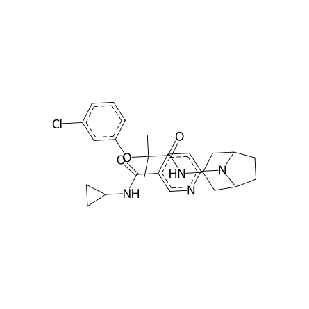 CC(C)(Oc1cccc(Cl)c1)C(=O)NC1CC2CCC(C1)N2c1ccc(C(=O)NC2CC2)cn1